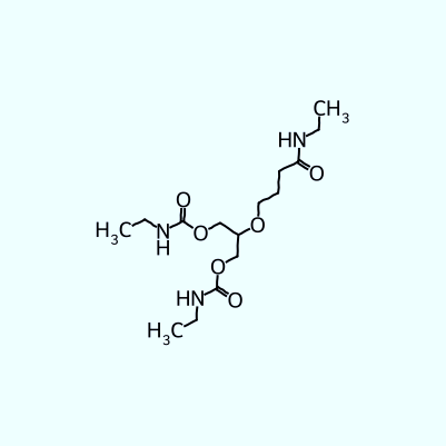 CCNC(=O)CCCOC(COC(=O)NCC)COC(=O)NCC